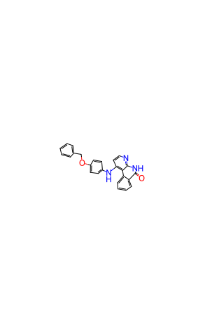 O=c1[nH]c2nccc(Nc3ccc(OCc4ccccc4)cc3)c2c2ccccc12